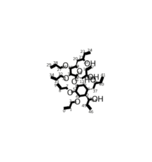 C=CCO[C@@H]1[C@@H](OCC=C)[C@@H](O[C@]2(CC(O)C=C)O[C@H](CC(O)C=C)[C@@H](OCC=C)[C@@H]2OCC=C)C[C@H](CC(O)C=C)[C@H]1C(O)C=C